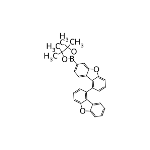 CC1(C)OB(c2ccc3c(c2)oc2cccc(-c4cccc5oc6ccccc6c45)c23)OC1(C)C